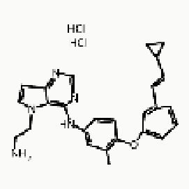 Cc1cc(Nc2ncnc3ccn(CCN)c23)ccc1Oc1cccc(/C=C/C2CC2)c1.Cl.Cl